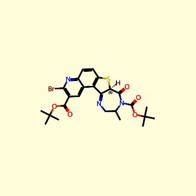 CC1CN=C2c3c(ccc4nc(Br)c(C(=O)OC(C)(C)C)cc34)S[C@H]2C(=O)N1C(=O)OC(C)(C)C